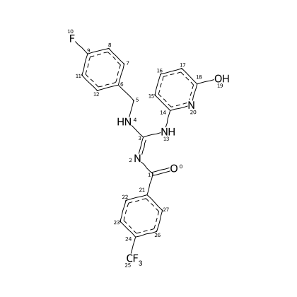 O=C(/N=C(/NCc1ccc(F)cc1)Nc1cccc(O)n1)c1ccc(C(F)(F)F)cc1